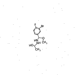 COC(NNC(C)O)c1ccc(F)c(Br)c1